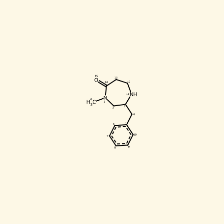 CN1CC(Cc2ccccc2)NCCC1=O